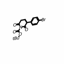 CC(C)(C)OC(=O)N1C(=O)CCC(c2ccc(Br)cc2)C1=O